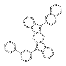 c1ccc(-c2cccc(-n3c4ccccc4c4cc5c(cc43)c3ccccc3n5-c3ccc4ccccc4c3)c2)cc1